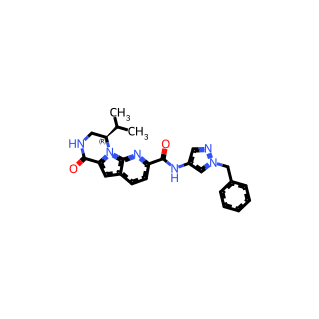 CC(C)[C@@H]1CNC(=O)c2cc3ccc(C(=O)Nc4cnn(Cc5ccccc5)c4)nc3n21